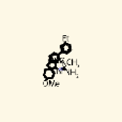 CCc1cccc(-c2ccc3c(c2)C(/N=C(/N)N(C)C=O)C2(CCC(OC)CC2)C3)c1